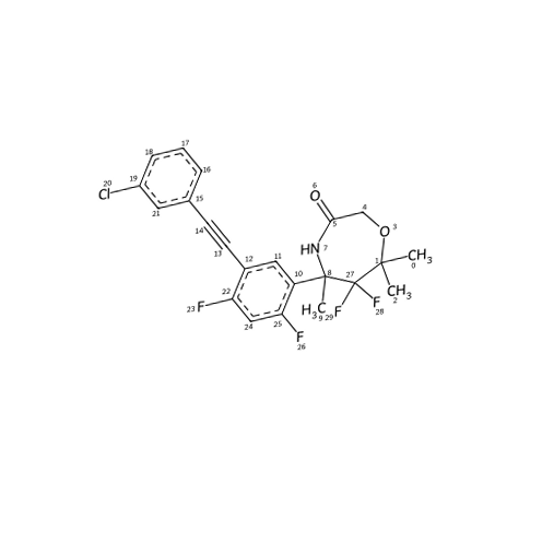 CC1(C)OCC(=O)NC(C)(c2cc(C#Cc3cccc(Cl)c3)c(F)cc2F)C1(F)F